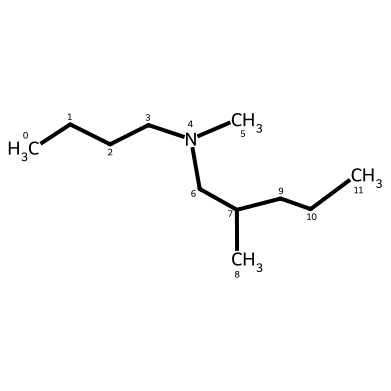 CCCCN(C)CC(C)CCC